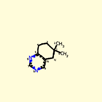 CC1(C)CCc2ncncc2C1